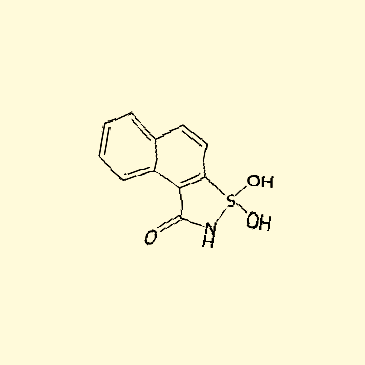 O=C1NS(O)(O)c2ccc3ccccc3c21